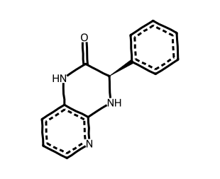 O=C1Nc2cccnc2N[C@@H]1c1ccccc1